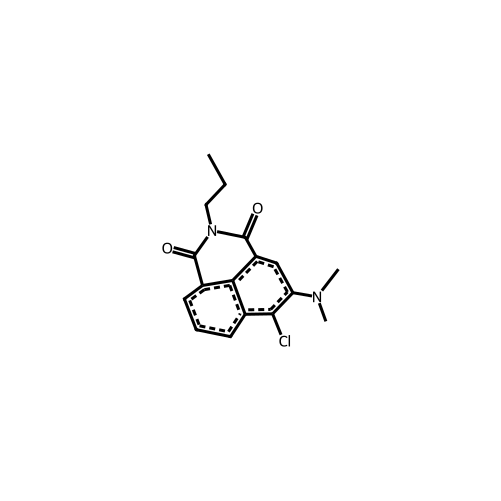 CCCN1C(=O)c2cccc3c(Cl)c(N(C)C)cc(c23)C1=O